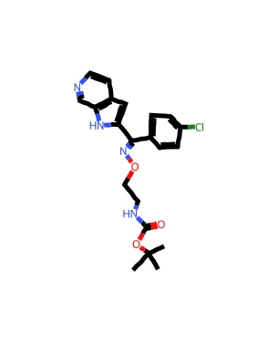 CC(C)(C)OC(=O)NCCO/N=C(\c1ccc(Cl)cc1)c1cc2ccncc2[nH]1